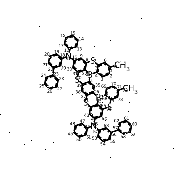 Cc1ccc2c(c1)Sc1cc(N(c3ccccc3)c3cccc(-c4ccccc4)c3)cc3c1B2c1cc2c(cc1S3)Sc1cc(N(c3ccccc3)c3cccc(-c4ccccc4)c3)cc3c1B2c1ccc(C)cc1S3